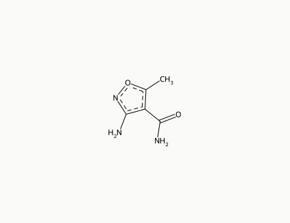 Cc1onc(N)c1C(N)=O